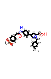 CCS(=O)(=O)c1ccc(CC(=O)Nc2ccc(C3CC(CO)N(Cc4ccc(C(F)(F)F)cc4)C3)cc2)cc1